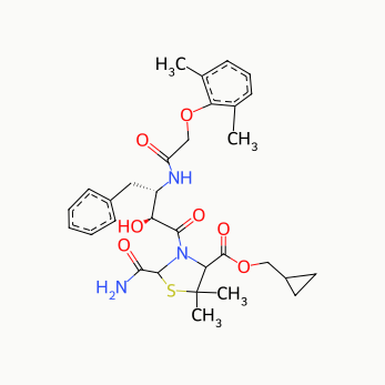 Cc1cccc(C)c1OCC(=O)N[C@@H](Cc1ccccc1)[C@H](O)C(=O)N1C(C(N)=O)SC(C)(C)C1C(=O)OCC1CC1